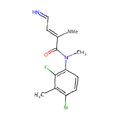 CN/C(=C\C=N)C(=O)N(C)c1ccc(Br)c(C)c1F